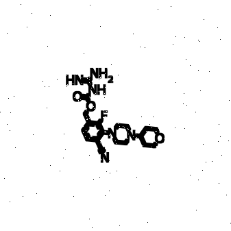 N#Cc1ccc(COC(=O)NC(=N)N)c(F)c1N1CCN(C2CCOCC2)CC1